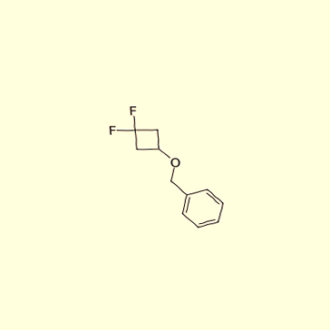 FC1(F)CC(OCc2ccccc2)C1